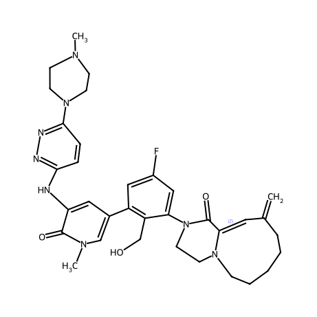 C=C1/C=C2/C(=O)N(c3cc(F)cc(-c4cc(Nc5ccc(N6CCN(C)CC6)nn5)c(=O)n(C)c4)c3CO)CCN2CCCCC1